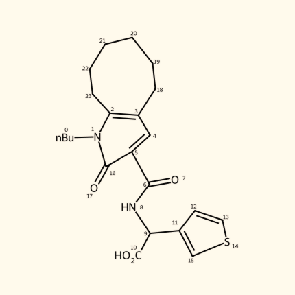 CCCCn1c2c(cc(C(=O)NC(C(=O)O)c3ccsc3)c1=O)CCCCCC2